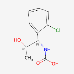 C[C@H](O)[C@@H](NC(=O)O)c1ccccc1Cl